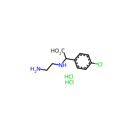 Cl.Cl.NCCNC(C(=O)O)c1ccc(Cl)cc1